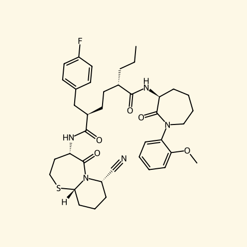 CCC[C@@H](CC[C@H](Cc1ccc(F)cc1)C(=O)N[C@H]1CCS[C@H]2CCC[C@@H](C#N)N2C1=O)C(=O)N[C@H]1CCCCN(c2ccccc2OC)C1=O